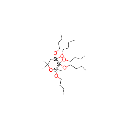 CCCCO[Si]1(C)OC(C)(C)C[Si](OCCCC)(OCCCC)[Si]1(OCCCC)OCCCC